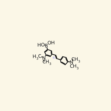 CN(C)c1ccc(/C=C/c2cc(B(O)O)cc(N(C)C)c2)cc1